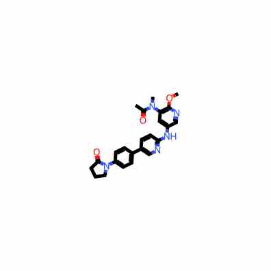 COc1ncc(Nc2ccc(-c3ccc(N4CCCC4=O)cc3)cn2)cc1N(C)C(C)=O